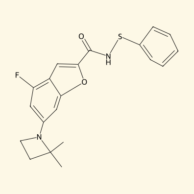 CC1(C)CCN1c1cc(F)c2cc(C(=O)NSc3ccccc3)oc2c1